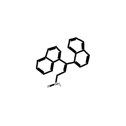 F[SiH2]CC=C(c1cccc2ccccc12)c1cccc2ccccc12